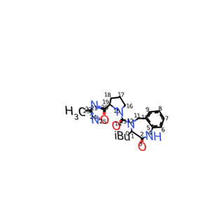 CCC(C)C1C(=O)Nc2ccccc2CN1C(=O)N1CCCC1c1nc(C)no1